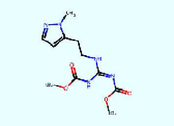 Cn1nccc1CCNC(=NC(=O)OC(C)(C)C)NC(=O)OC(C)(C)C